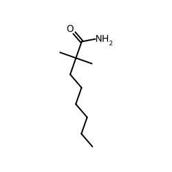 CCCCCCC(C)(C)C(N)=O